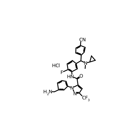 CN(C1CC1)C(c1ccc(C#N)cc1)c1ccc(F)c(NC(=O)c2cc(C(F)(F)F)nn2-c2cccc(CN)c2)c1.Cl